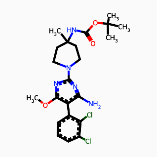 COc1nc(N2CCC(C)(NC(=O)OC(C)(C)C)CC2)nc(N)c1-c1cccc(Cl)c1Cl